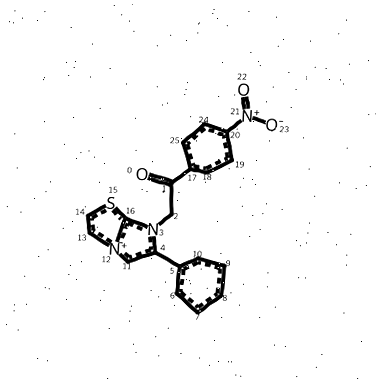 O=C(Cn1c(-c2ccccc2)c[n+]2ccsc12)c1ccc([N+](=O)[O-])cc1